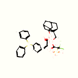 C=CC(=O)OC12CC3CC(CC(C3)C1COC(=O)C(F)(F)S(=O)(=O)[O-])C2.c1ccc([S+](c2ccccc2)c2ccccc2)cc1